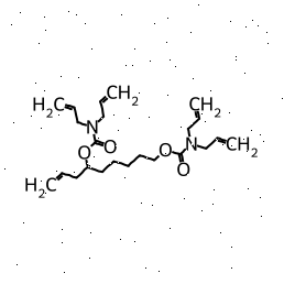 C=CCC(CCCCCOC(=O)N(CC=C)CC=C)OC(=O)N(CC=C)CC=C